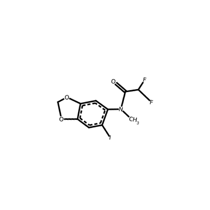 CN(C(=O)C(F)F)c1cc2c(cc1I)OCO2